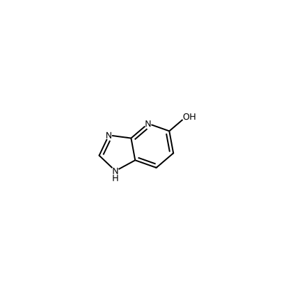 Oc1ccc2[nH]cnc2n1